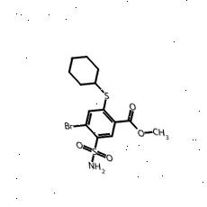 COC(=O)c1cc(S(N)(=O)=O)c(Br)cc1SC1CCCCC1